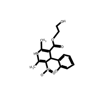 CC1=C(C(=O)OCCO)C(c2ccccc2Cl)C([N+](=O)[O-])=C(C)N1